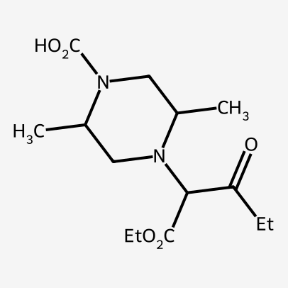 CCOC(=O)C(C(=O)CC)N1CC(C)N(C(=O)O)CC1C